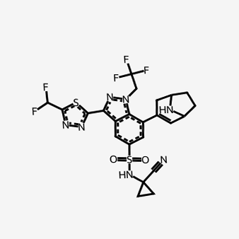 N#CC1(NS(=O)(=O)c2cc(C3=CC4CCC(C3)N4)c3c(c2)c(-c2nnc(C(F)F)s2)nn3CC(F)(F)F)CC1